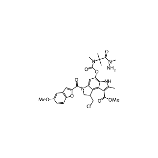 COC(=O)c1c(C)[nH]c2c(OC(=O)N(C)C(C)(C)C(=O)N(C)N)cc3c(c12)C(CCl)CN3C(=O)c1cc2cc(OC)ccc2o1